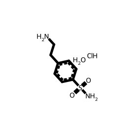 Cl.NCCc1ccc(S(N)(=O)=O)cc1.O